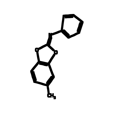 Cc1ccc2o/c(=N/c3ccccc3)oc2c1